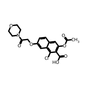 CC(=O)Oc1cc2ccc(OCC(=O)N3CCOCC3)cc2c(Cl)c1C(=O)O